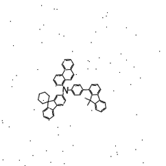 CC1(C)c2ccccc2-c2cccc(-c3ccc(N(c4ccc5c(c4)C4(CCCCC4)c4ccccc4-5)c4cccc5c4ccc4ccccc45)cc3)c21